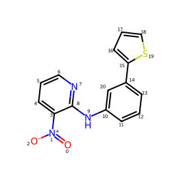 O=[N+]([O-])c1cccnc1Nc1cccc(-c2cccs2)c1